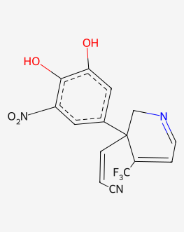 N#C/C=C\C1(c2cc(O)c(O)c([N+](=O)[O-])c2)CN=CC=C1C(F)(F)F